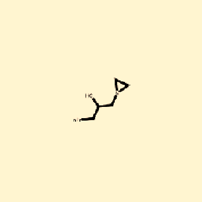 CCCCC(O)CN1CC1